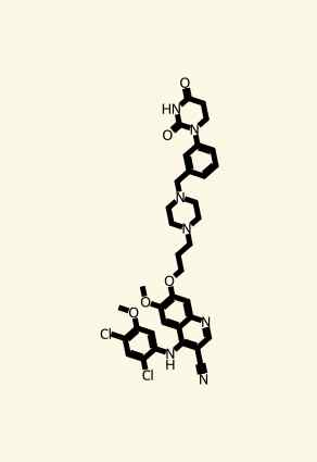 COc1cc(Nc2c(C#N)cnc3cc(OCCCN4CCN(Cc5cccc(N6CCC(=O)NC6=O)c5)CC4)c(OC)cc23)c(Cl)cc1Cl